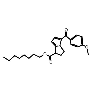 CCCCCCCCOC(=O)C1CCn2c(C(=O)c3ccc(OC)cc3)ccc21